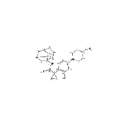 CN1CCN(c2ccc(C3(C(=O)NC45CC6CC(CC(C6)C4)C5)CC3)c(F)c2)CC1